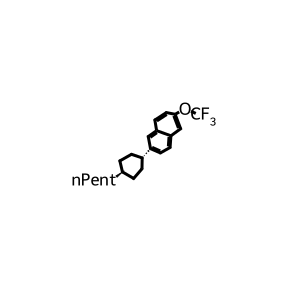 CCCCC[C@H]1CC[C@H](c2ccc3cc(OC(F)(F)F)ccc3c2)CC1